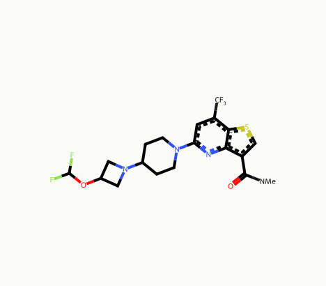 CNC(=O)c1csc2c(C(F)(F)F)cc(N3CCC(N4CC(OC(F)F)C4)CC3)nc12